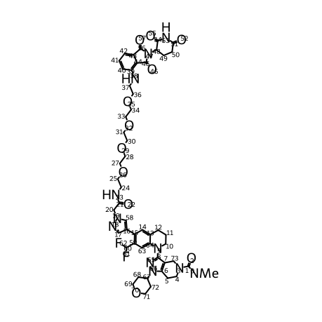 CNC(=O)N1CCc2c(c(N3CCCc4cc(-c5cnn(CC(=O)NCCOCCOCCOCCOCCNc6cccc7c6C(=O)N(C6CCC(=O)NC6=O)C7=O)c5)c(C(F)F)cc43)nn2C2CCOCC2)C1